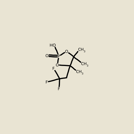 CC1(C)OP(=O)(O)OC1(C)CC(F)(F)F